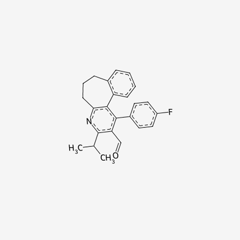 CC(C)c1nc2c(c(-c3ccc(F)cc3)c1C=O)-c1ccccc1CCC2